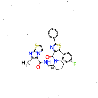 Cc1nc2sccn2c1C(=O)NC[C@@H]1CCCCN1C(=O)c1nc(-c2ccccc2)sc1-c1ccc(F)cc1